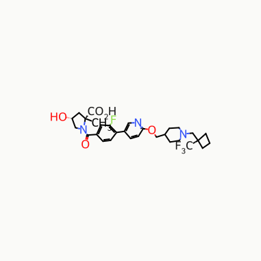 C[C@@]1(C(=O)O)C[C@@H](O)CN1C(=O)c1ccc(-c2ccc(OCC3CCN(CC4(C(F)(F)F)CCC4)CC3)nc2)c(F)c1